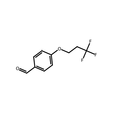 O=Cc1c[c]c(OCCC(F)(F)F)cc1